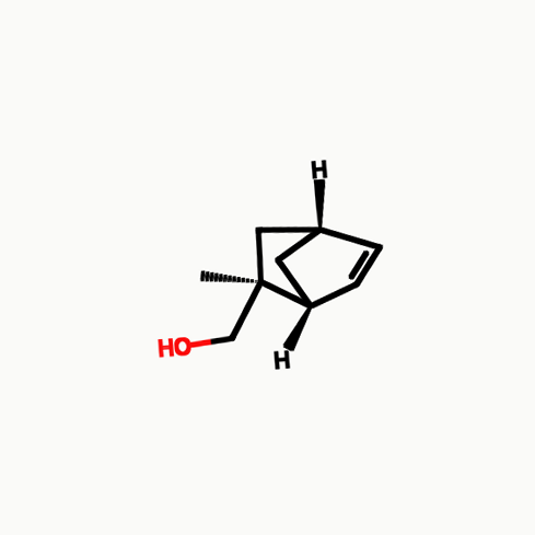 C[C@]1(CO)C[C@@H]2C=C[C@H]1C2